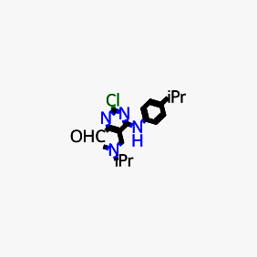 CC(C)c1ccc(Nc2nc(Cl)nc(C=O)c2CN(C)C(C)C)cc1